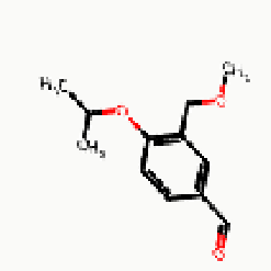 COCc1cc(C=O)ccc1OC(C)C